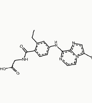 CCc1cc(Nc2nccn3c(I)cnc23)ccc1C(=O)NCC(=O)O